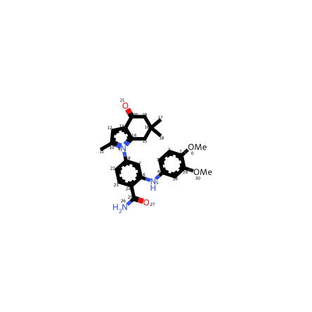 COc1ccc(Nc2cc(-n3c(C)cc4c3CC(C)(C)CC4=O)ccc2C(N)=O)cc1OC